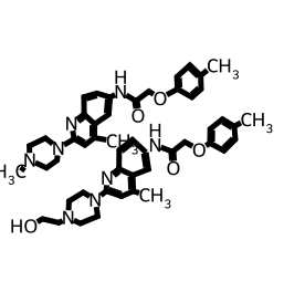 Cc1ccc(OCC(=O)Nc2ccc3nc(N4CCN(C)CC4)cc(C)c3c2)cc1.Cc1ccc(OCC(=O)Nc2ccc3nc(N4CCN(CCO)CC4)cc(C)c3c2)cc1